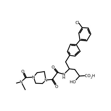 CN(C)C(=O)N1CCN(C(=O)C(=O)NC(Cc2ccc(-c3cccc(Cl)c3)cc2)CC(O)C(=O)O)CC1